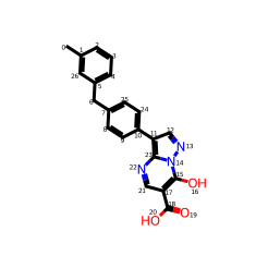 Cc1cccc(Cc2ccc(-c3cnn4c(O)c(C(=O)O)cnc34)cc2)c1